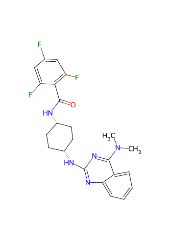 CN(C)c1nc(N[C@H]2CC[C@@H](NC(=O)c3c(F)cc(F)cc3F)CC2)nc2ccccc12